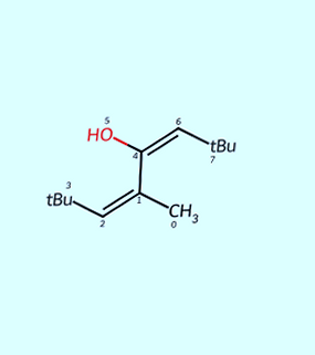 CC(=C/C(C)(C)C)/C(O)=C\C(C)(C)C